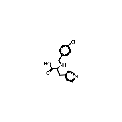 O=C(O)C(Cc1ccncc1)NCc1ccc(Cl)cc1